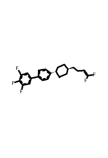 FC(F)=CCC[C@H]1CC[C@H](c2ccc(-c3cc(F)c(F)c(F)c3)cc2)CC1